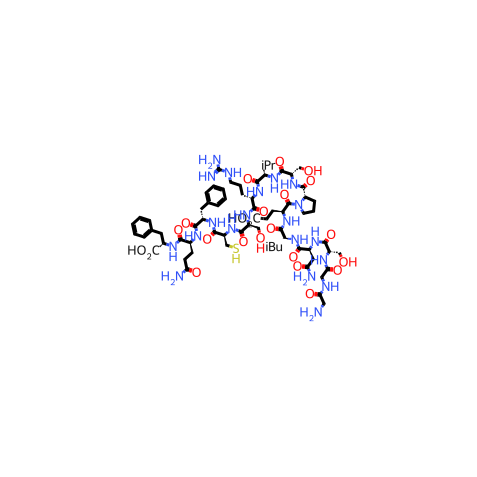 CC[C@H](C)[C@H](NC(=O)[C@H](CC(N)=O)NC(=O)[C@H](CO)NC(=O)CNC(=O)CN)C(=O)N[C@@H](CCC(=O)O)C(=O)N1CCC[C@H]1C(=O)N[C@@H](CO)C(=O)N[C@H](C(=O)N[C@@H](CCCNC(=N)N)C(=O)N[C@@H](CO)C(=O)N[C@@H](CS)C(=O)N[C@@H](Cc1ccccc1)C(=O)N[C@@H](CCC(N)=O)C(=O)N[C@@H](Cc1ccccc1)C(=O)O)C(C)C